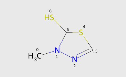 CN1N=[C]SC1S